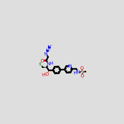 CS(=O)(=O)NCc1ccc(-c2ccc([C@H](O)[C@@H](CF)NC(=O)CN=[N+]=[N-])cc2)cn1